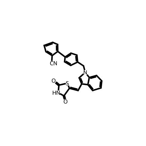 N#Cc1ccccc1-c1ccc(Cn2cc(/C=C3\SC(=O)NC3=O)c3ccccc32)cc1